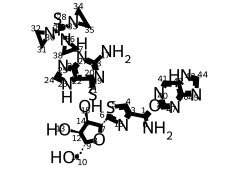 NC(=O)c1csc([C@@H]2O[C@H](CO)[C@@H](O)[C@H]2O)n1.Nc1nc(=S)c2[nH]cnc2[nH]1.S=P(N1CC1)(N1CC1)N1CC1.c1ncc2[nH]cnc2n1